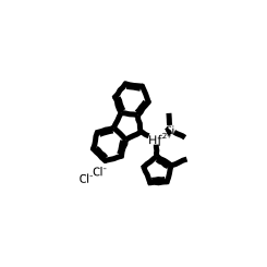 CC1=[C]([Hf+2]([CH]2c3ccccc3-c3ccccc32)=[Si](C)C)CC=C1.[Cl-].[Cl-]